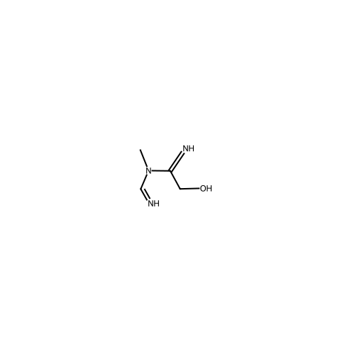 CN(C=N)C(=N)CO